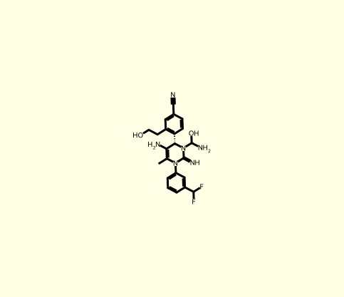 CC1=C(N)[C@H](c2ccc(C#N)cc2CCO)N(C(N)O)C(=N)N1c1cccc(C(F)F)c1